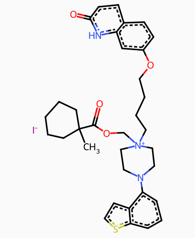 CC1(C(=O)OC[N+]2(CCCCOc3ccc4ccc(=O)[nH]c4c3)CCN(c3cccc4sccc34)CC2)CCCCC1.[I-]